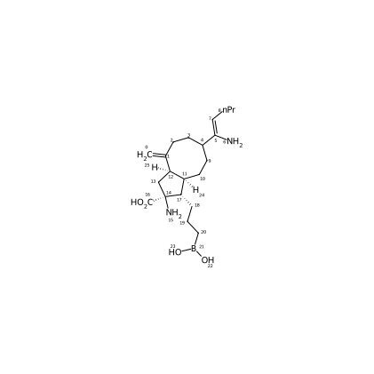 C=C1CCC(/C(N)=C/CCC)CC[C@@H]2[C@H]1C[C@@](N)(C(=O)O)[C@H]2CCCB(O)O